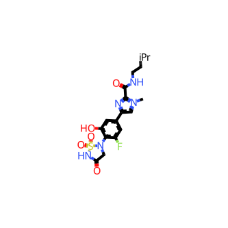 CC(C)CCNC(=O)c1nc(-c2cc(O)c(N3CC(=O)NS3(=O)=O)c(F)c2)cn1C